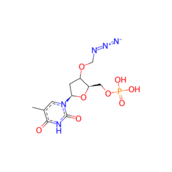 Cc1cn([C@H]2CC(OCN=[N+]=[N-])[C@@H](COP(=O)(O)O)O2)c(=O)[nH]c1=O